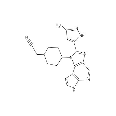 Cc1cc(-c2nc3cnc4[nH]ccc4c3n2C2CCC(CC#N)CC2)[nH]n1